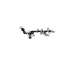 CC(C)(C)OC(=O)NCCCC[C@H](NC(=O)OC(C)(C)C)C(=O)NCCC(=O)OCCCc1ccc(-c2c(C#N)c(SCc3csc(-c4ccc(Cl)cc4)n3)nc(N3CCCC3)c2C#N)cc1